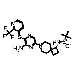 CC(C)(C)[S+]([O-])N[C@H]1CCC12CCN(c1cnc(Sc3cccnc3C(F)(F)F)c(N)n1)CC2